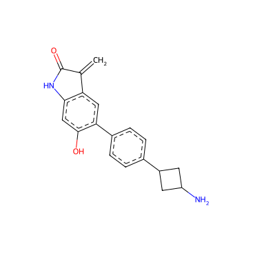 C=C1C(=O)Nc2cc(O)c(-c3ccc(C4CC(N)C4)cc3)cc21